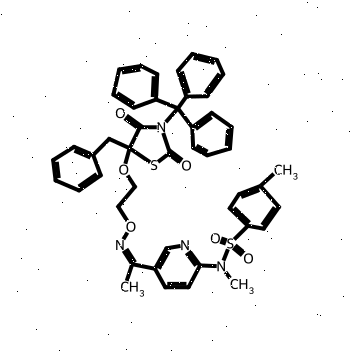 CC(=NOCCOC1(Cc2ccccc2)SC(=O)N(C(c2ccccc2)(c2ccccc2)c2ccccc2)C1=O)c1ccc(N(C)S(=O)(=O)c2ccc(C)cc2)nc1